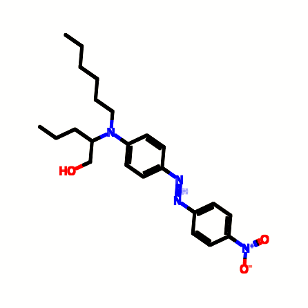 CCCCCCN(c1ccc(/N=N/c2ccc([N+](=O)[O-])cc2)cc1)C(CO)CCC